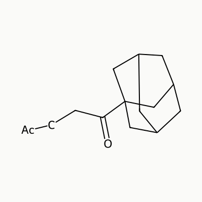 CC(=O)CCC(=O)C12CC3CC(CC(C3)C1)C2